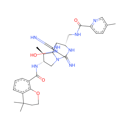 Cc1ccc(C(=O)NC[C@@H]2NC(=N)N3C[C@H](NC(=O)c4cccc5c4OCCC5(C)C)[C@@H](C)C34C2NC(=N)N4O)nc1